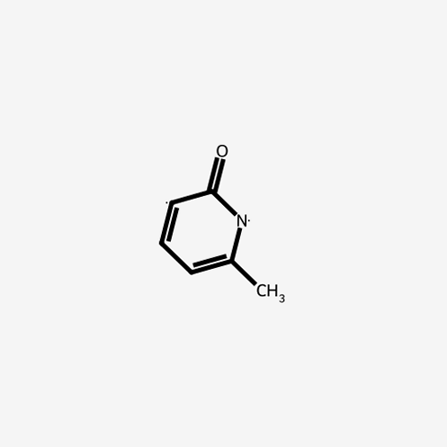 CC1=CC=[C]C(=O)[N]1